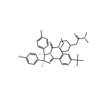 CCOc1cc(C(C)(C)C)ncc1C1=N[C@@](C)(c2ccc(Cl)cc2)[C@@](C)(c2ccc(Cl)cc2)N1C(=O)N1CCC(CC(=O)N(C)C)CC1